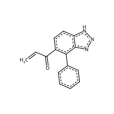 C=CC(=O)c1ccc2[nH]nnc2c1-c1ccccc1